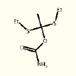 CCSC(C)(OC(N)=O)SCC